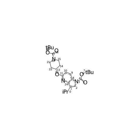 CC(C)c1cn(C(=O)OC(C)(C)C)c2ccc(OC3CCN(C(=O)OC(C)(C)C)CC3)nc12